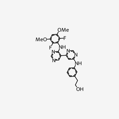 COc1cc(OC)c(F)c(Nc2ncncc2-c2cc(Nc3cccc(CCO)c3)ncn2)c1F